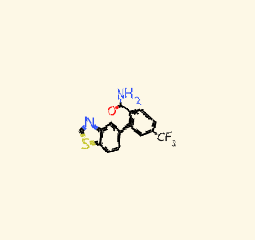 NC(=O)c1ccc(C(F)(F)F)cc1-c1ccc2scnc2c1